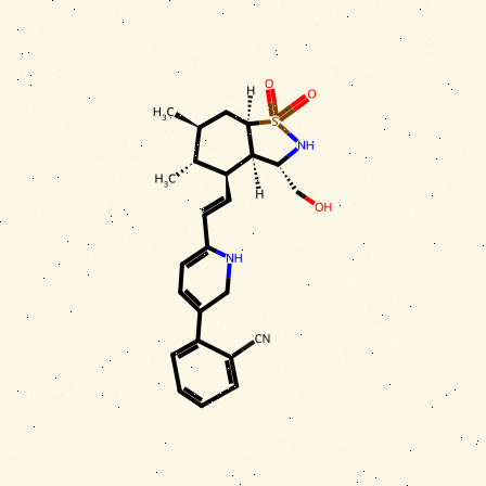 C[C@H]1[C@H](/C=C/C2=CC=C(c3ccccc3C#N)CN2)[C@H]2[C@@H](C[C@@H]1C)S(=O)(=O)N[C@@H]2CO